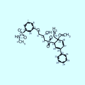 CNS(=O)(=O)c1cccc(OC[C@H](O)CS(=O)(=O)C2C=C(c3ccccc3)C=CC2(CN)OC)c1